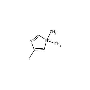 C[N+]1(C)C=NC(I)=C1